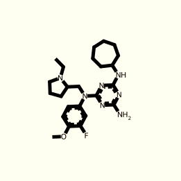 CCN1CCCC1CN(c1ccc(OC)c(F)c1)c1nc(N)nc(NC2CCCCCC2)n1